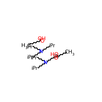 CC(C)CCCCCN(CCCCCC(C)C)CCCCCC(C)C.CC(C)CCCCCN(CCCCCC(C)C)CCCCCC(C)C.CCCCCCC(=O)O.CCCCCCCC(=O)O